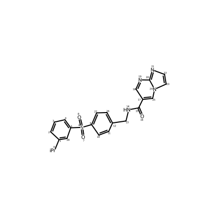 CC(C)c1cccc(S(=O)(=O)c2ccc(CNC(=O)c3cnc4nccn4c3)cc2)c1